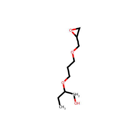 CCC(OCCCOCC1CO1)[SiH2]O